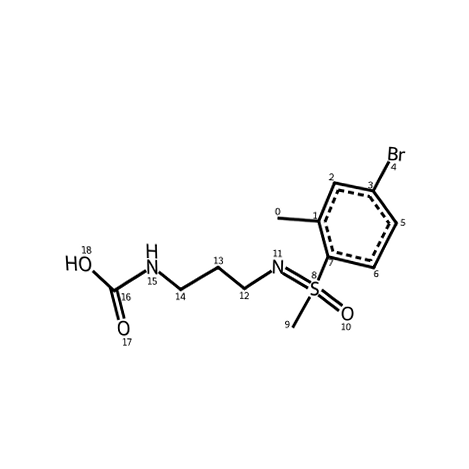 Cc1cc(Br)ccc1S(C)(=O)=NCCCNC(=O)O